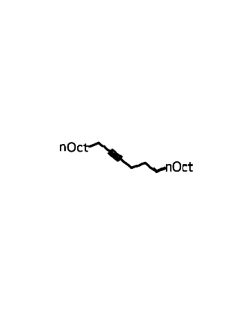 [CH2]CCCCCCCCC#CCCCCCCCCCC[CH2]